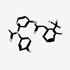 CC(=O)N(c1ccc(F)cc1)c1cc(NC(=O)Cc2cccc(F)c2C(F)(F)F)ccn1